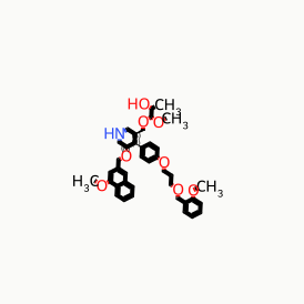 COc1ccccc1COCCCOc1ccc([C@H]2[C@H](COC(OC)C(C)O)CNC[C@@H]2OCc2cc(OC)c3ccccc3c2)cc1